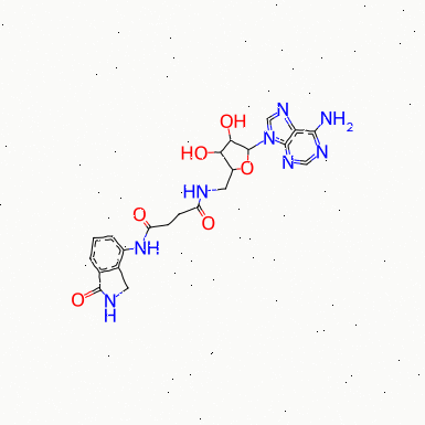 Nc1ncnc2c1ncn2C1OC(CNC(=O)CCC(=O)Nc2cccc3c2CNC3=O)C(O)C1O